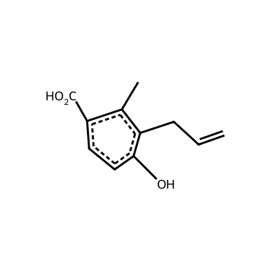 C=CCc1c(O)ccc(C(=O)O)c1C